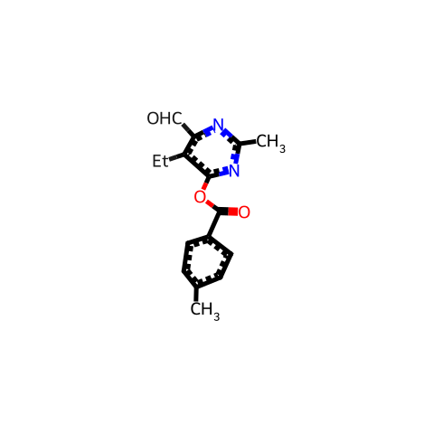 CCc1c(C=O)nc(C)nc1OC(=O)c1ccc(C)cc1